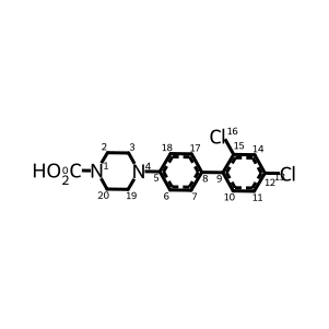 O=C(O)N1CCN(c2ccc(-c3ccc(Cl)cc3Cl)cc2)CC1